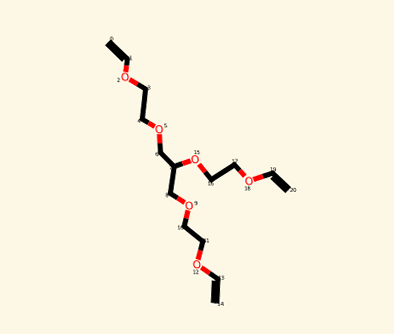 C=COCCOCC(COCCOC=C)OCCOC=C